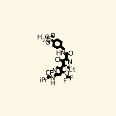 CCn1nc(C(=O)NCC2CCC(S(C)(=O)=O)CC2)c(Cl)c1-c1cnc(NC(C(C)C)C(F)(F)F)cc1OC(F)F